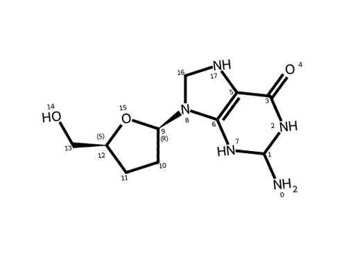 NC1NC(=O)C2=C(N1)N([C@H]1CC[C@@H](CO)O1)CN2